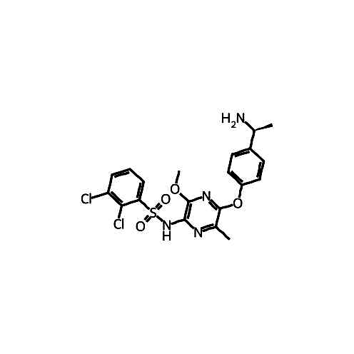 COc1nc(Oc2ccc([C@H](C)N)cc2)c(C)nc1NS(=O)(=O)c1cccc(Cl)c1Cl